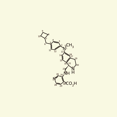 CN(c1ccc(CC2CCC2)cc1)c1ccc2c(c1)CCN[C@H]2CNc1cnccc1C(=O)O